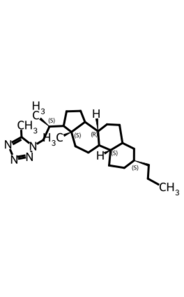 CCC[C@H]1CC[C@H]2C(CC[C@@H]3C2CC[C@@]2(C)C3CCC2[C@H](C)Cn2nnnc2C)C1